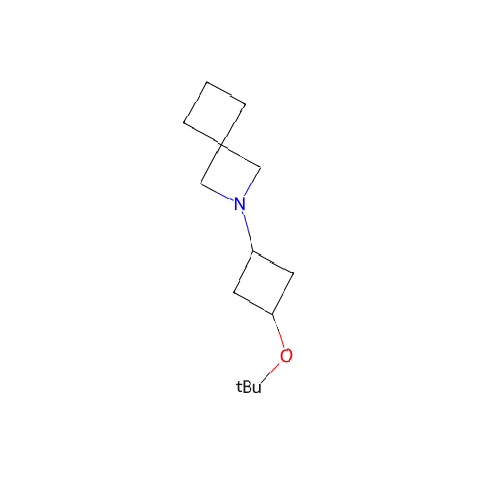 CC(C)(C)OC1CC(N2CC3(CCC3)C2)C1